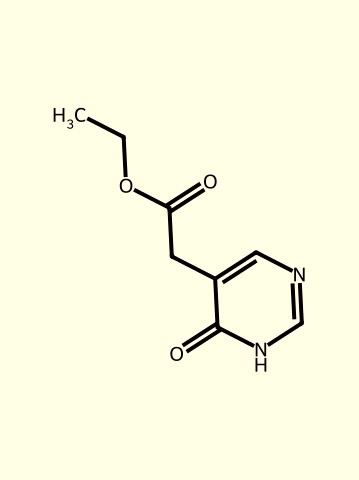 CCOC(=O)Cc1cnc[nH]c1=O